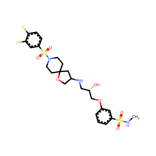 CNS(=O)(=O)c1cccc(OC[C@@H](O)CNC2COC3(CCN(S(=O)(=O)c4ccc(F)c(F)c4)CC3)C2)c1